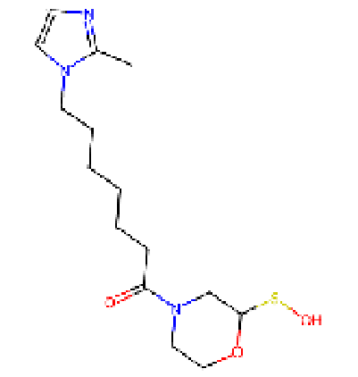 Cc1n[c]cn1CCCCCCC(=O)N1CCOC(SO)C1